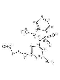 Cc1cc(OCCC=O)cc(OS(=O)(=O)c2ccccc2OC(F)(F)F)c1